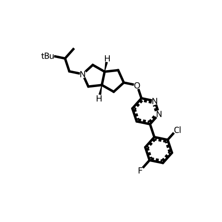 CC(CN1C[C@H]2CC(Oc3ccc(-c4cc(F)ccc4Cl)nn3)C[C@H]2C1)C(C)(C)C